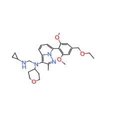 CCOCc1cc(OC)c(-c2cccc3c(N(CNC4CC4)C4CCOCC4)c(C)nn23)c(OC)c1